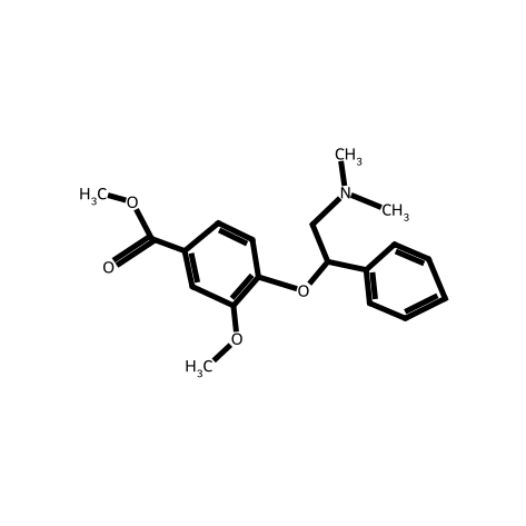 COC(=O)c1ccc(OC(CN(C)C)c2ccccc2)c(OC)c1